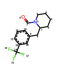 O=CN1CCCCC1Cc1cccc(C(F)(F)F)c1